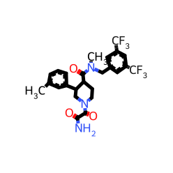 Cc1cccc(C2CN(C(=O)C(N)=O)CCC2C(=O)N(C)Cc2cc(C(F)(F)F)cc(C(F)(F)F)c2)c1